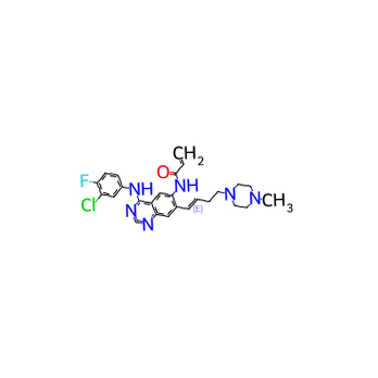 C=CC(=O)Nc1cc2c(Nc3ccc(F)c(Cl)c3)ncnc2cc1/C=C/CCN1CCN(C)CC1